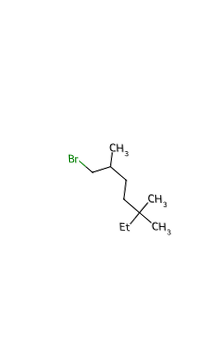 CCC(C)(C)CCC(C)CBr